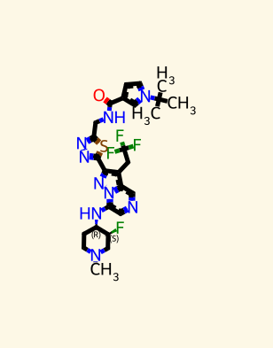 CN1CC[C@@H](Nc2cncc3c(CC(F)(F)F)c(-c4nnc(CNC(=O)c5ccn(C(C)(C)C)c5)s4)nn23)[C@@H](F)C1